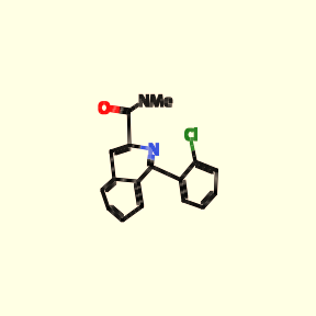 CNC(=O)c1cc2ccccc2c(-c2ccccc2Cl)n1